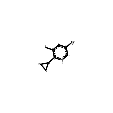 Cc1cc(Br)cnc1C1CC1